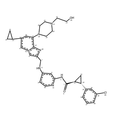 O=C(Nc1cc(NCc2cn3cc(C4CC4)cc(N4CCN(CCO)CC4)c3n2)ccn1)[C@H]1C[C@@H]1c1cccc(Cl)c1